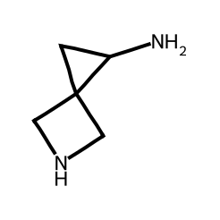 NC1CC12CNC2